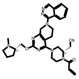 C=CC(=O)N1CCN(c2nc(OC[C@@H]3CCCN3C)nc3c2CCN(c2nncc4ccccc24)C3)C[C@@H]1CC#N